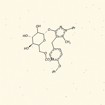 CCOC(=O)OCC1O[C@@H](Oc2nn(C(C)C)c(C)c2Cc2ccc(OC(C)C)cc2)C(O)[C@@H](O)[C@@H]1O